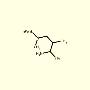 CCCCCN(C)CC(C)C(N)CCC